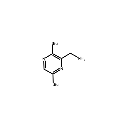 CC(C)(C)c1cnc(C(C)(C)C)c(CN)n1